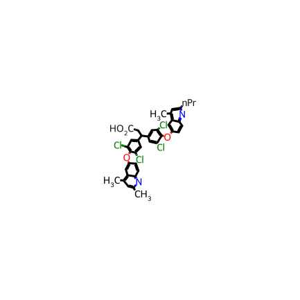 CCCc1cc(C)c2cc(Oc3c(Cl)cc(C(CC(=O)O)c4cc(Cl)c(Oc5ccc6nc(C)cc(C)c6c5)c(Cl)c4)cc3Cl)ccc2n1